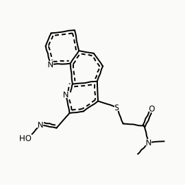 CN(C)C(=O)CSc1cc(C=NO)nc2c1ccc1cccnc12